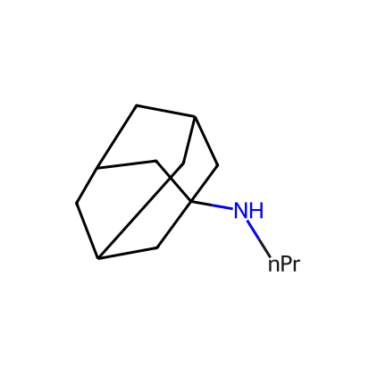 CCCNC12CC3CC(CC(C3)C1)C2